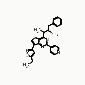 CCc1cc(-c2csc3c(C(N)C(N)Cc4ccccc4)nc(-c4ccncc4)nc23)no1